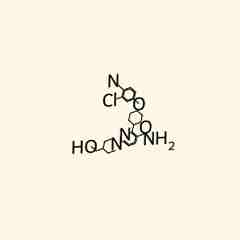 N#Cc1ccc(OC2CCC(c3nc(N4CCC(CO)CC4)ccc3C(N)=O)CC2)cc1Cl